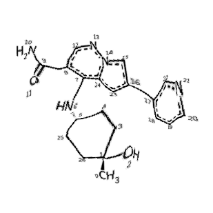 C[C@]1(O)CC[C@@H](Nc2c(C(N)=O)cnn3cc(-c4cccnc4)cc23)CC1